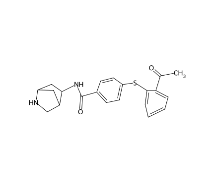 CC(=O)c1ccccc1Sc1ccc(C(=O)NC2CC3CC2CN3)cc1